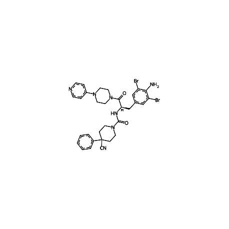 N#CC1(c2ccccc2)CCN(C(=O)N[C@H](Cc2cc(Br)c(N)c(Br)c2)C(=O)N2CCN(c3ccncc3)CC2)CC1